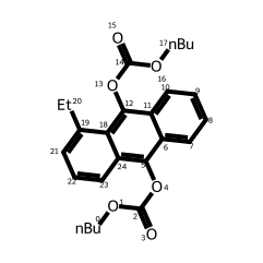 CCCCOC(=O)Oc1c2ccccc2c(OC(=O)OCCCC)c2c(CC)cccc12